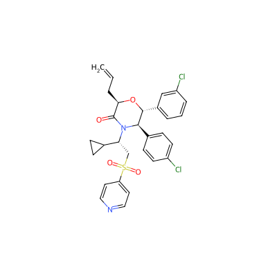 C=CC[C@H]1O[C@H](c2cccc(Cl)c2)[C@@H](c2ccc(Cl)cc2)N([C@H](CS(=O)(=O)c2ccncc2)C2CC2)C1=O